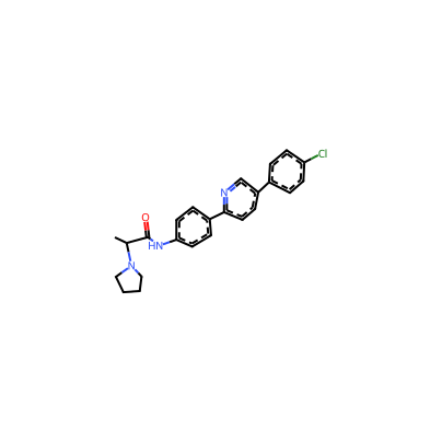 CC(C(=O)Nc1ccc(-c2ccc(-c3ccc(Cl)cc3)cn2)cc1)N1CCCC1